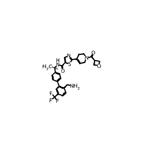 C[C@@H](NC(=O)c1cnc(C2=CCN(C(=O)C3COC3)CC2)s1)c1ccc(-c2cc(C(F)(F)F)ccc2CN)cc1